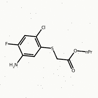 CCCOC(=O)CSc1cc(N)c(F)cc1Cl